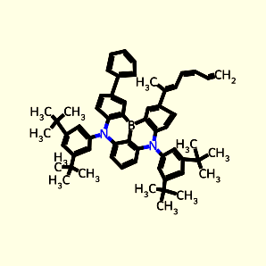 C=C/C=C\C=C(/C)c1ccc2c(c1)B1c3cc(-c4ccccc4)ccc3N(c3cc(C(C)(C)C)cc(C(C)(C)C)c3)c3cccc(c31)N2c1cc(C(C)(C)C)cc(C(C)(C)C)c1